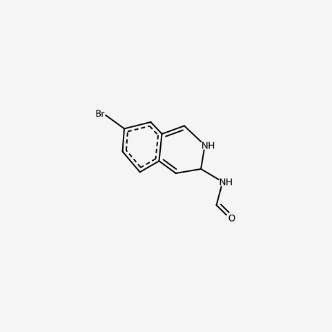 O=CNC1C=c2ccc(Br)cc2=CN1